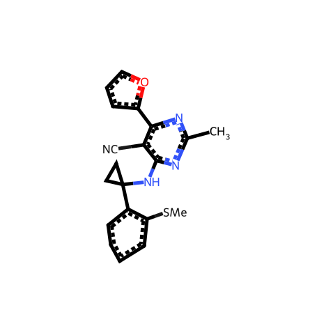 CSc1ccccc1C1(Nc2nc(C)nc(-c3ccco3)c2C#N)CC1